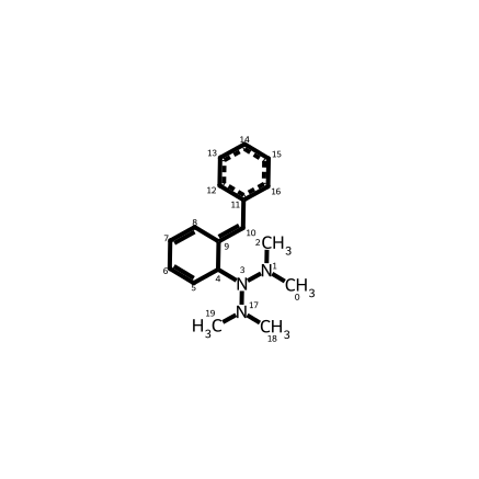 CN(C)N(C1C=CC=CC1=Cc1ccccc1)N(C)C